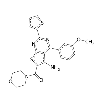 COc1cccc(-c2nc(-c3cccs3)nc3sc(C(=O)N4CCOCC4)c(N)c23)c1